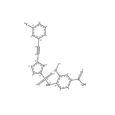 COc1cc(C(=O)O)ccc1NS(=O)(=O)c1csc(C#Cc2cccc(F)c2)n1